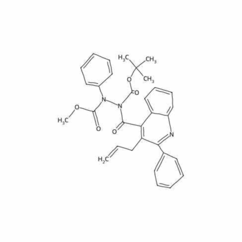 C=CCc1c(-c2ccccc2)nc2ccccc2c1C(=O)N(C(=O)OC(C)(C)C)N(C(=O)OC)c1ccccc1